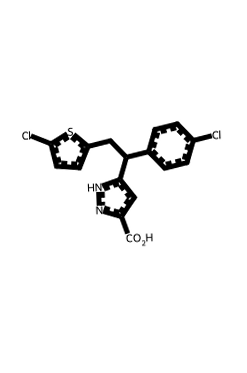 O=C(O)c1cc(C(Cc2ccc(Cl)s2)c2ccc(Cl)cc2)[nH]n1